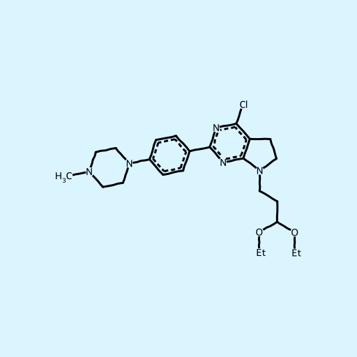 CCOC(CCN1CCc2c(Cl)nc(-c3ccc(N4CCN(C)CC4)cc3)nc21)OCC